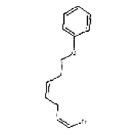 CC/C=C\C/C=C\CCOc1ccccc1